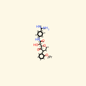 CC(C)Oc1ccccc1C1CCO[C@H]([C@@H](O)C(=O)Nc2ccc(C(=N)N)cc2)C1=O